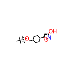 CC(C)(C)[Si](C)(C)OCC1CCC(c2cc(O)no2)CC1